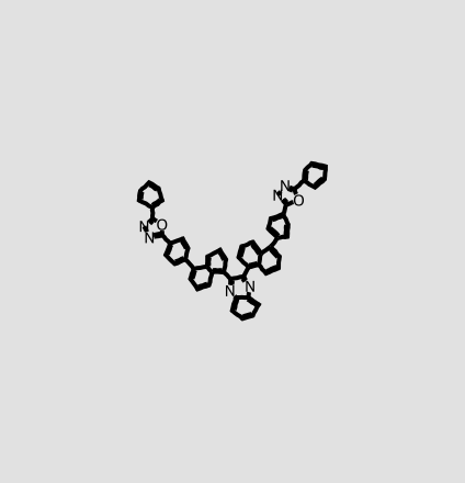 c1ccc(-c2nnc(-c3ccc(-c4cccc5c(-c6nc7ccccc7nc6-c6cccc7c(-c8ccc(-c9nnc(-c%10ccccc%10)o9)cc8)cccc67)cccc45)cc3)o2)cc1